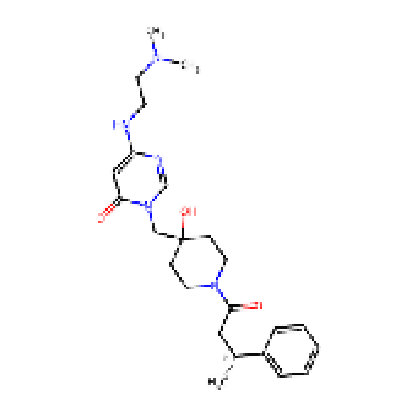 C[C@H](CC(=O)N1CCC(O)(Cn2cnc(NCCN(C)C)cc2=O)CC1)c1ccccc1